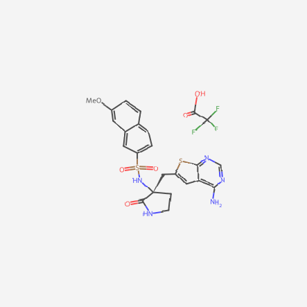 COc1ccc2ccc(S(=O)(=O)N[C@]3(Cc4cc5c(N)ncnc5s4)CCNC3=O)cc2c1.O=C(O)C(F)(F)F